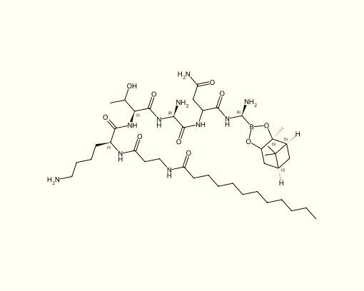 CCCCCCCCCCCC(=O)NCCC(=O)N[C@@H](CCCCN)C(=O)N[C@H](C(=O)N[C@@H](N)C(=O)NC(CC(N)=O)C(=O)N[C@@H](N)B1OC2C[C@@H]3C[C@@H](C3(C)C)[C@]2(C)O1)C(C)O